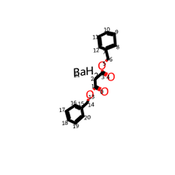 O=C(CC(=O)OCc1ccccc1)OCc1ccccc1.[BaH2]